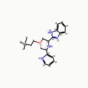 CC(NC(COCC[Si](C)(C)C)c1nc2ccccc2[nH]1)c1ccccn1